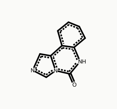 O=c1[nH]c2ccccc2c2cncn12